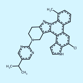 Cc1cccc2c3cc(Cl)c4[nH]ccc4c3c3c4c(nn3c12)CCN(c1ncc(C(C)C)cn1)C4